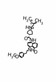 C/C=C(\SCC)SN[C@H]1CC[C@H](C(=O)Nc2ccc(NCCc3ccc(OC)cc3)c3c(C=O)cccc23)CC1